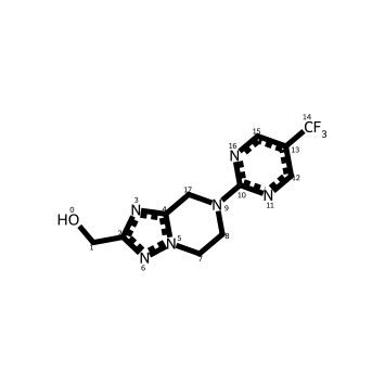 OCc1nc2n(n1)CCN(c1ncc(C(F)(F)F)cn1)C2